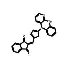 O=C1C(=CC2=CC=C(N3c4ccccc4[Te]c4ncccc43)C2)C(=O)c2ccccc21